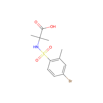 Cc1cc(Br)ccc1S(=O)(=O)NC(C)(C)C(=O)O